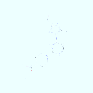 Cc1nc(CO)nn1-c1nc(N2CCN(C(=O)OC(C)(C)C)CC2)ncc1F